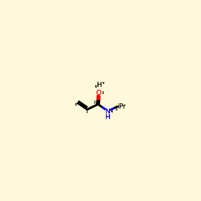 C=CC(=O)NC(C)C.[H+]